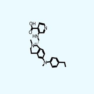 CCc1ccc(N(C)c2ccc3c(c2)CCN(C)[C@@H]3CNc2cnccc2C(=O)O)cc1